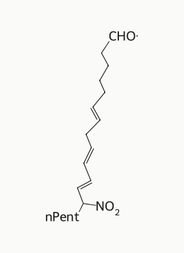 CCCCCC(/C=C/C=C/C/C=C/CCCC[C]=O)[N+](=O)[O-]